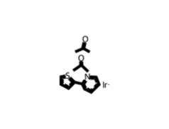 CC(C)=O.CC(C)=O.[Ir].c1ccc(-c2cccs2)nc1